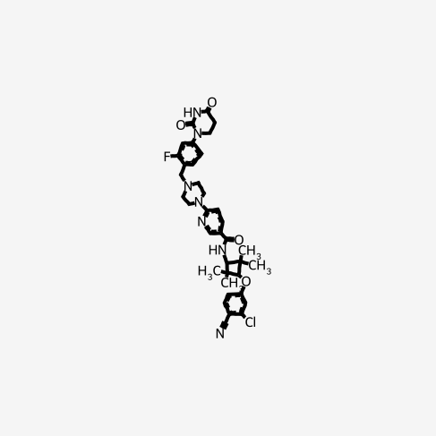 CC1(C)C(NC(=O)c2ccc(N3CCN(Cc4ccc(N5CCC(=O)NC5=O)cc4F)CC3)nc2)C(C)(C)C1Oc1ccc(C#N)c(Cl)c1